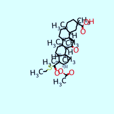 CCSC(=O)[C@]1(C)[C@@H](OC(C)=O)CC[C@@]2(C)[C@H]1CC[C@]1(C)[C@@H]2C(=O)C=C2[C@@H]3C[C@@](C)(C(=O)O)CC[C@]3(C)CC[C@]21C